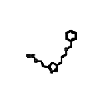 O=COCCC1=NOC(CCCOCc2ccccc2)C1